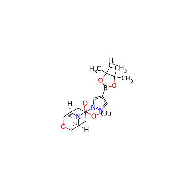 CC(C)(C)OC(=O)N1[C@@H]2COC[C@H]1CC(n1cc(B3OC(C)(C)C(C)(C)O3)cn1)C2